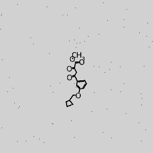 COC(=O)C(=O)CC(=O)c1cccc(OCC2CCC2)c1